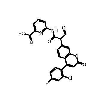 O=CC(C(=O)Nc1cccc(C(=O)O)n1)c1ccc2c(-c3ccc(F)cc3Cl)cc(=O)oc2c1